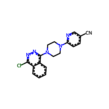 N#Cc1ccc(N2CCN(c3nnc(Cl)c4ccccc34)CC2)nc1